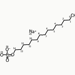 CCCCCCCCCCCCCCCOP(=O)([O-])O.[Na+]